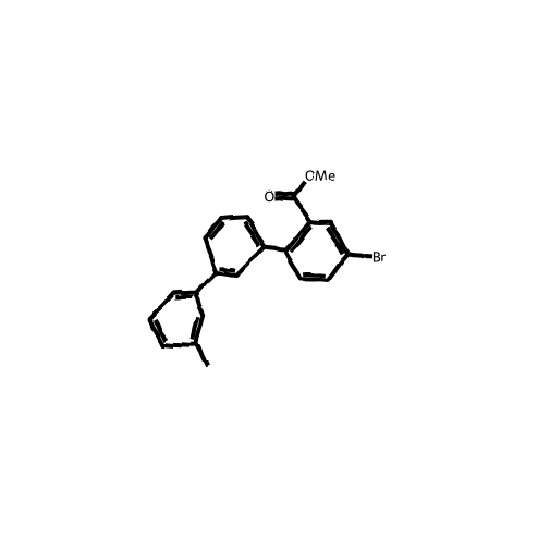 COC(=O)c1cc(Br)ccc1-c1cccc(-c2cccc(C)c2)c1